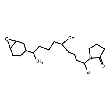 CCC(CCCC(CCCC(C)C1CCC2OC2C1)OC(C)=O)N1CCCC1=O